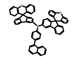 C1=CC2=C(CC1)C1(c3ccccc3S2)c2ccccc2-c2cc(N(c3ccc(-c4cccc5ccccc45)cc3)c3ccc4c(c3)-c3ccccc3C43c4ccccc4Oc4ccccc43)ccc21